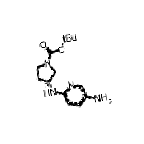 CC(C)(C)OC(=O)N1CC[C@@H](Nc2ccc(N)cn2)C1